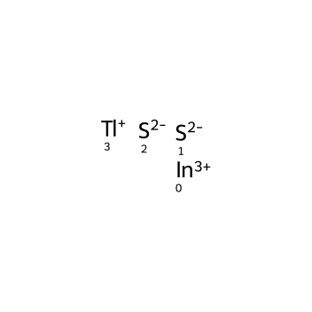 [In+3].[S-2].[S-2].[Tl+]